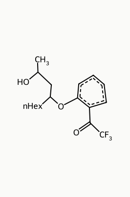 CCCCCCC(CC(C)O)Oc1ccccc1C(=O)C(F)(F)F